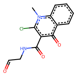 Cn1c(Cl)c(C(=O)NCC=O)c(=O)c2ccccc21